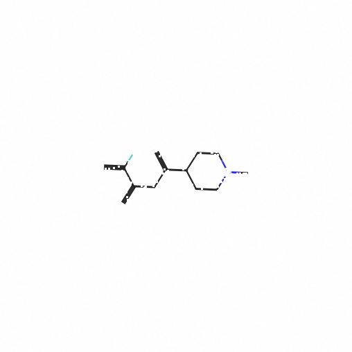 C=C(F)C(=C)CC(=C)C1CCN(C)CC1